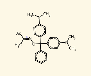 CC(=O)/C(C)=N/OC(c1ccccc1)(c1ccc(N(C)C)cc1)c1ccc(N(C)C)cc1